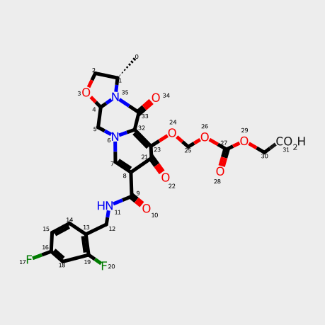 C[C@H]1COC2Cn3cc(C(=O)NCc4ccc(F)cc4F)c(=O)c(OCOC(=O)OCC(=O)O)c3C(=O)N21